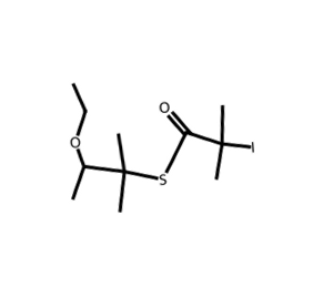 CCOC(C)C(C)(C)SC(=O)C(C)(C)I